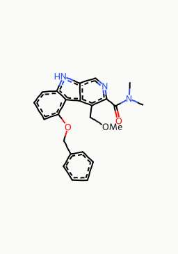 COCc1c(C(=O)N(C)C)ncc2[nH]c3cccc(OCc4ccccc4)c3c12